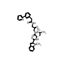 CC(C)C[C@H](NC(=O)c1cc2ccccc2n1C)C(=O)NCC(=O)CNC(=O)Cc1cccc(-c2ccccn2)c1